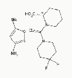 CC(C)(C)c1cc(N)no1.O=C(O)[C@@H]1CCCCN1C(=O)N1CCC(F)(F)CC1